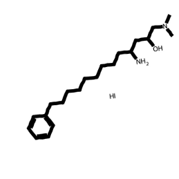 CN(C)CC(O)CC(N)CCCCCCCCCc1ccccc1.I